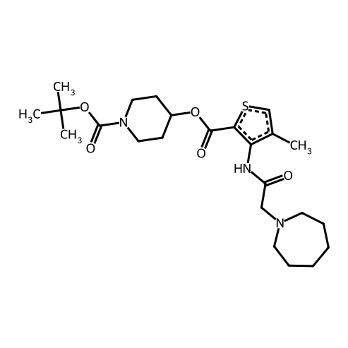 Cc1csc(C(=O)OC2CCN(C(=O)OC(C)(C)C)CC2)c1NC(=O)CN1CCCCCC1